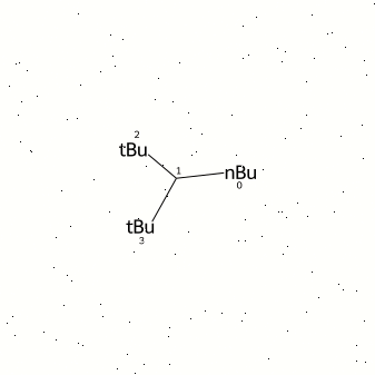 CCCCC(C(C)(C)C)C(C)(C)C